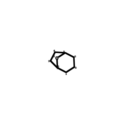 C1C[C]2CCC(C1)O2